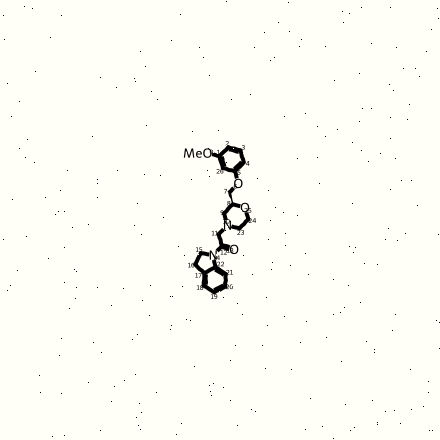 COc1cccc(OC[C@@H]2CN(CC(=O)N3CCc4ccccc43)CCO2)c1